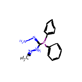 C=NN/C(=N\N)P(c1ccccc1)c1ccccc1